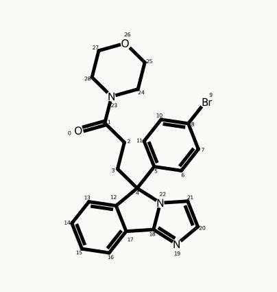 O=C(CCC1(c2ccc(Br)cc2)c2ccccc2-c2nccn21)N1CCOCC1